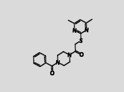 Cc1cc(C)nc(SCC(=O)N2CCN(C(=O)c3ccccc3)CC2)n1